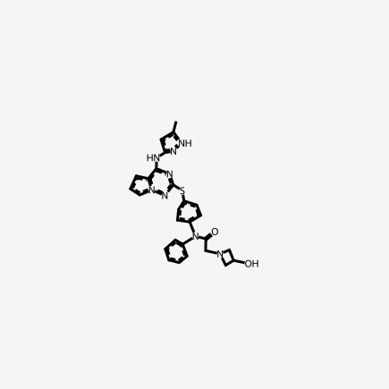 Cc1cc(Nc2nc(Sc3ccc(N(C(=O)CN4CC(O)C4)c4ccccc4)cc3)nn3cccc23)n[nH]1